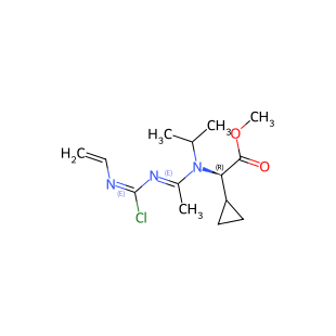 C=C/N=C(Cl)\N=C(/C)N(C(C)C)[C@@H](C(=O)OC)C1CC1